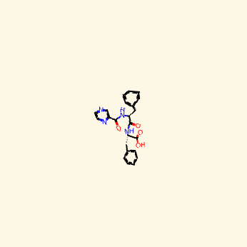 O=C(N[C@@H](Cc1ccccc1)C(=O)N[C@@H](Cc1ccccc1)C(=O)O)c1cnccn1